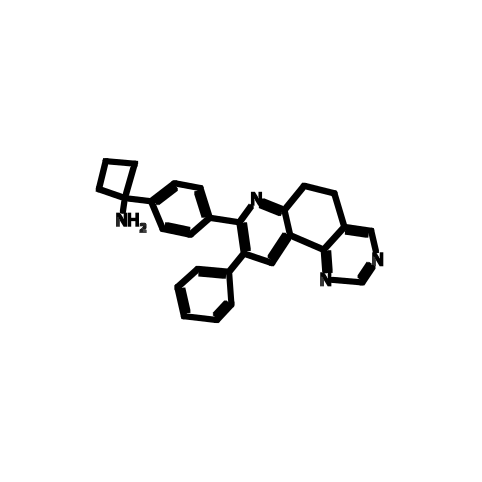 NC1(c2ccc(-c3nc4c(cc3-c3ccccc3)-c3ncncc3CC4)cc2)CCC1